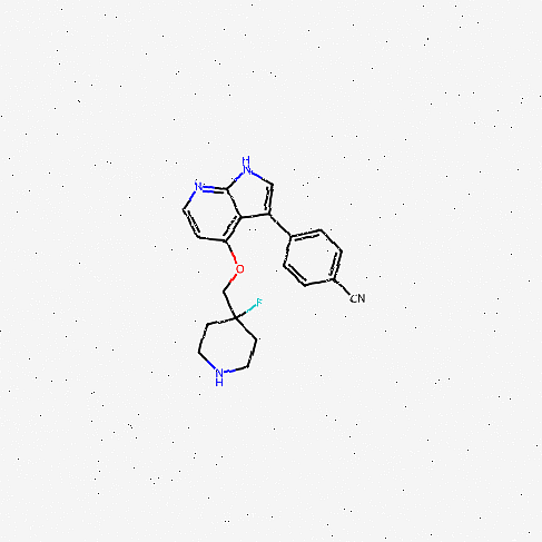 N#Cc1ccc(-c2c[nH]c3nccc(OCC4(F)CCNCC4)c23)cc1